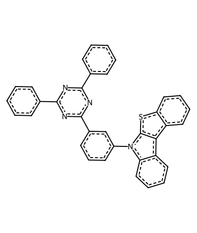 c1ccc(-c2nc(-c3ccccc3)nc(-c3cccc(-n4c5ccccc5c5c6ccccc6sc54)c3)n2)cc1